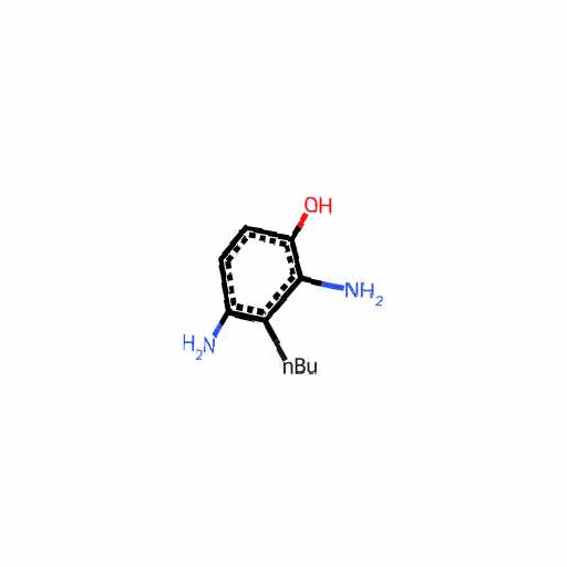 CCCCc1c(N)ccc(O)c1N